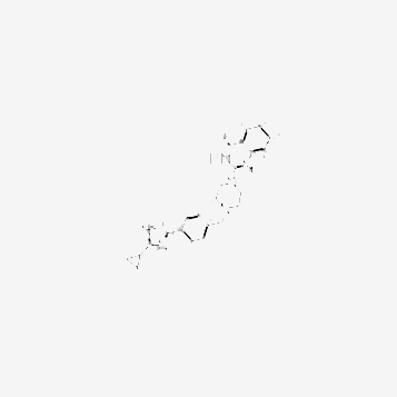 O=c1[nH]c(N2CCN(Cc3ccc(-c4nc(C5CC5)no4)cc3)CC2)nc2ccccc12